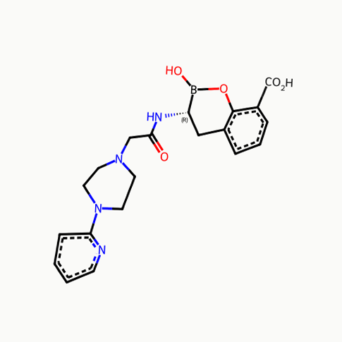 O=C(CN1CCN(c2ccccn2)CC1)N[C@H]1Cc2cccc(C(=O)O)c2OB1O